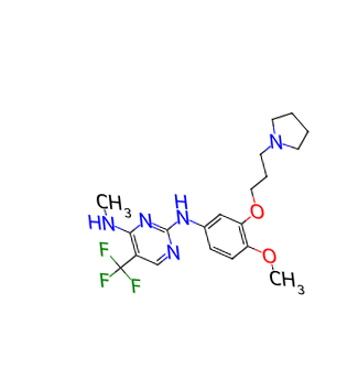 CNc1nc(Nc2ccc(OC)c(OCCCN3CCCC3)c2)ncc1C(F)(F)F